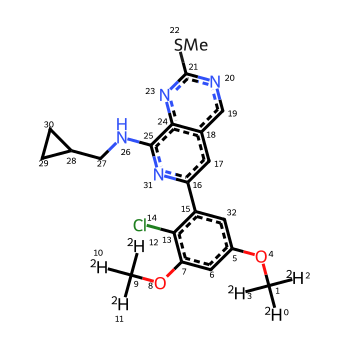 [2H]C([2H])([2H])Oc1cc(OC([2H])([2H])[2H])c(Cl)c(-c2cc3cnc(SC)nc3c(NCC3CC3)n2)c1